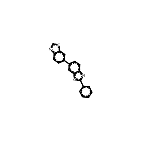 [c]1ccc(-c2nc3ccc(-c4ccc5n[c]oc5c4)cc3o2)cc1